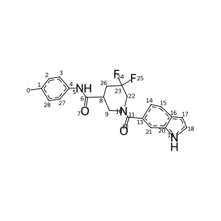 Cc1ccc(NC(=O)C2CN(C(=O)c3ccc4cc[nH]c4c3)CC(F)(F)C2)cc1